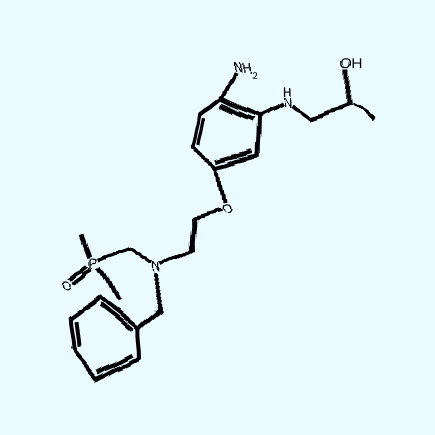 C[C@H](O)CNc1cc(OCCN(Cc2ccccc2)CP(C)(C)=O)ccc1N